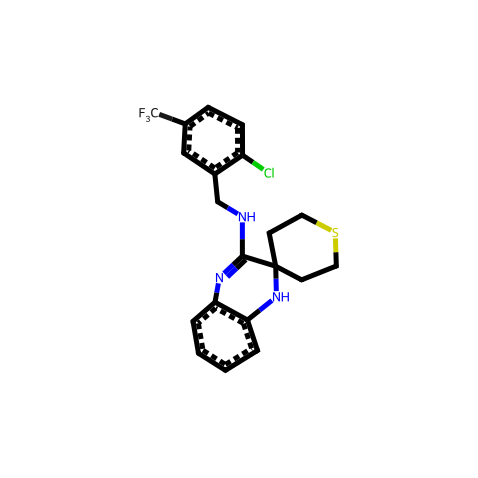 FC(F)(F)c1ccc(Cl)c(CNC2=Nc3ccccc3NC23CCSCC3)c1